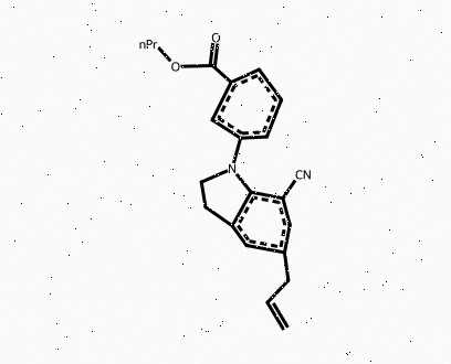 C=CCc1cc(C#N)c2c(c1)CCN2c1cccc(C(=O)OCCC)c1